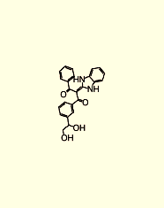 O=C(C(C(=O)c1cccc(C(O)CO)c1)=C1Nc2ccccc2N1)c1ccccc1